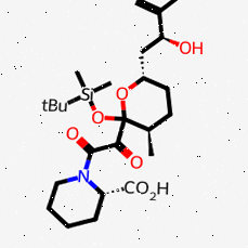 C=C(C)[C@@H](O)C[C@@H]1CC[C@@H](C)C(O[Si](C)(C)C(C)(C)C)(C(=O)C(=O)N2CCCC[C@H]2C(=O)O)O1